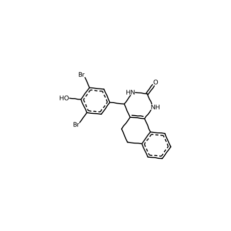 O=C1NC2=C(CCc3ccccc32)C(c2cc(Br)c(O)c(Br)c2)N1